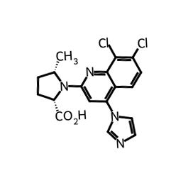 C[C@H]1CC[C@@H](C(=O)O)N1c1cc(-n2ccnc2)c2ccc(Cl)c(Cl)c2n1